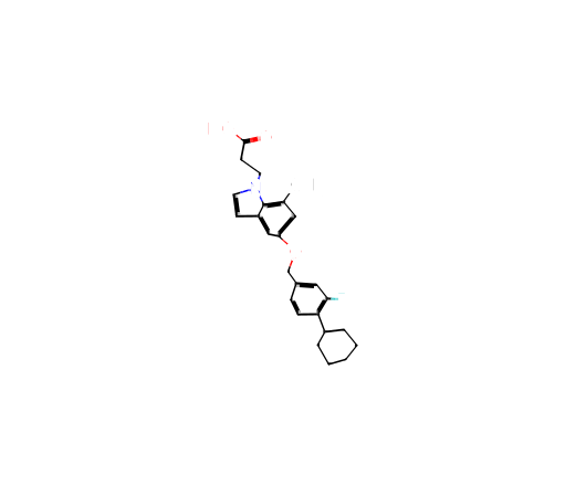 Cc1cc(OCc2ccc(C3CCCCC3)c(F)c2)cc2ccn(CCC(=O)O)c12